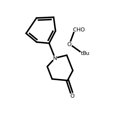 CC(C)(C)OC=O.O=C1CCN(c2ccccc2)CC1